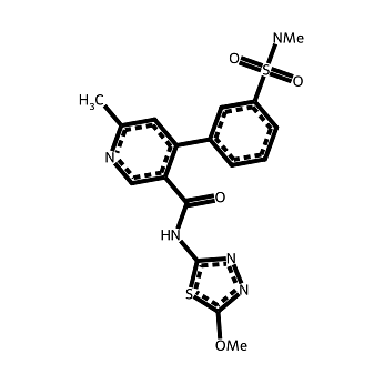 CNS(=O)(=O)c1cccc(-c2cc(C)ncc2C(=O)Nc2nnc(OC)s2)c1